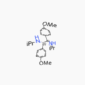 COc1ccc([C@H](NC(C)C)[C@@H](NC(C)C)c2ccc(OC)cc2)cc1